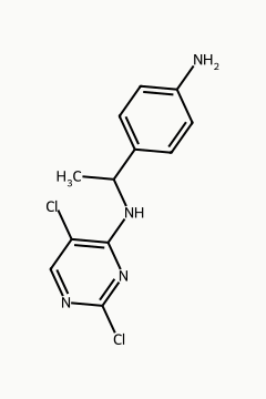 CC(Nc1nc(Cl)ncc1Cl)c1ccc(N)cc1